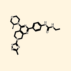 CCNC(=O)Nc1ccc(-c2nc3c(c(N4CCOC[C@@H]4C)n2)CCN(c2nc(C)ns2)C3)cc1